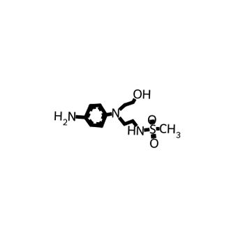 CS(=O)(=O)NCCN(CCO)c1ccc(N)cc1